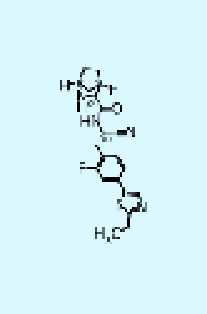 CCc1ncc(-c2ccc(C[C@@H](C#N)NC(=O)[C@H]3N[C@@H]4CC[C@H]3C4)c(F)c2)s1